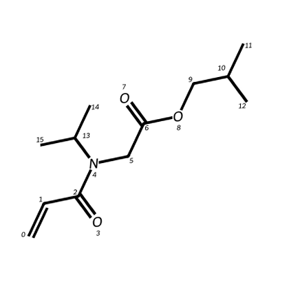 C=CC(=O)N(CC(=O)OCC(C)C)C(C)C